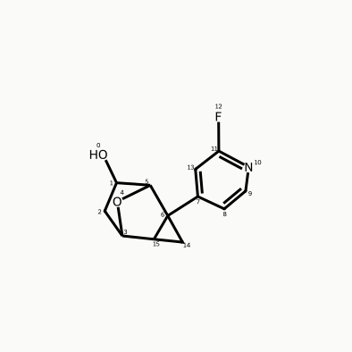 OC1CC2OC1C1(c3ccnc(F)c3)CC21